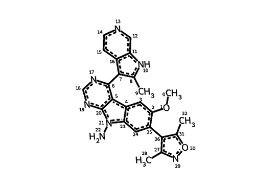 COc1cc2c3c(-c4c(C)[nH]c5cnccc45)ncnc3n(N)c2cc1-c1c(C)noc1C